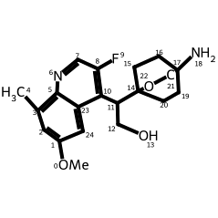 COc1cc(C)c2ncc(F)c(C(CO)C34CCC(N)(CC3)CO4)c2c1